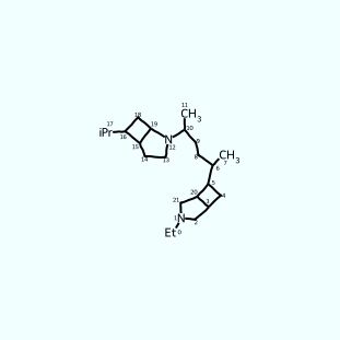 CCN1CC2CC(C(C)CCC(C)N3CCC4C(C(C)C)CC43)C2C1